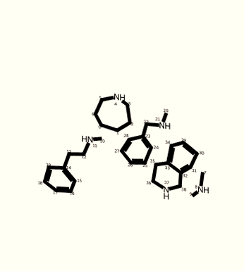 C1CCCNCC1.CNC.CNCCc1ccccc1.CNCc1ccccc1.c1ccc2c(c1)CCNC2